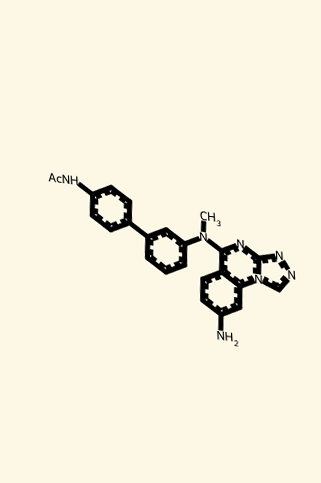 CC(=O)Nc1ccc(-c2cccc(N(C)c3nc4nncn4c4cc(N)ccc34)c2)cc1